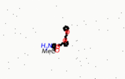 COC(=O)c1cc(N)ccc1OCCCc1ccccc1OCCCCOc1ccccc1